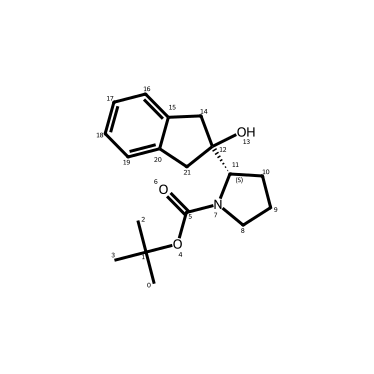 CC(C)(C)OC(=O)N1CCC[C@H]1C1(O)Cc2ccccc2C1